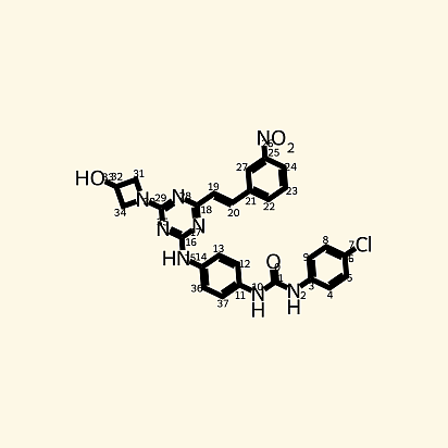 O=C(Nc1ccc(Cl)cc1)Nc1ccc(Nc2nc(C=Cc3cccc([N+](=O)[O-])c3)nc(N3CC(O)C3)n2)cc1